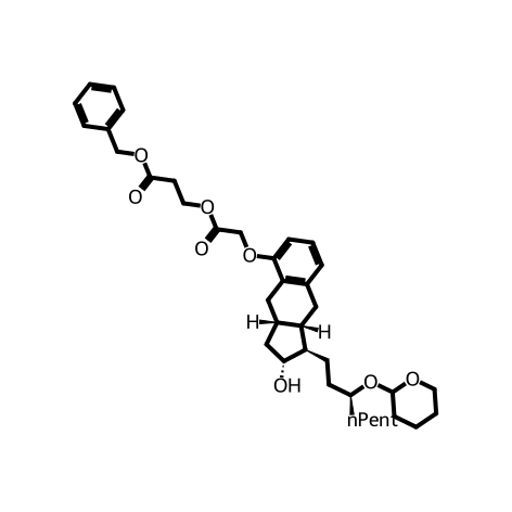 CCCCC[C@@H](CC[C@@H]1[C@H]2Cc3cccc(OCC(=O)OCCC(=O)OCc4ccccc4)c3C[C@H]2C[C@H]1O)OC1CCCCO1